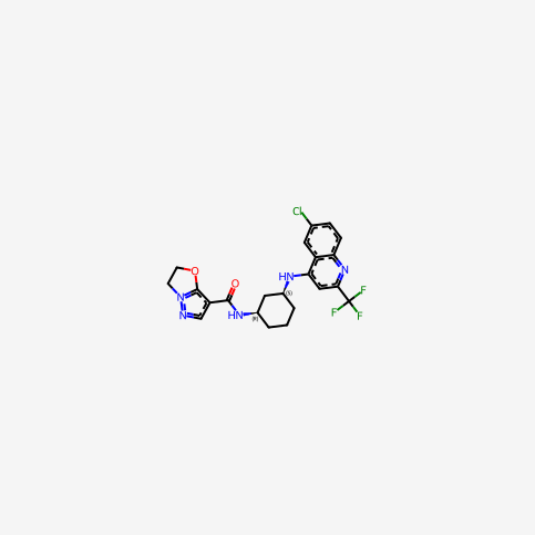 O=C(N[C@@H]1CCC[C@H](Nc2cc(C(F)(F)F)nc3ccc(Cl)cc23)C1)c1cnn2c1OCC2